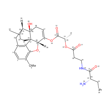 COc1ccc2c3c1O[C@H]1C(OC(=O)[C@H](C)OC(=O)CCNC(=O)[C@@H](N)CC(C)C)=CC[C@@]4(O)[C@@H](C2)C(C)CC[C@]314